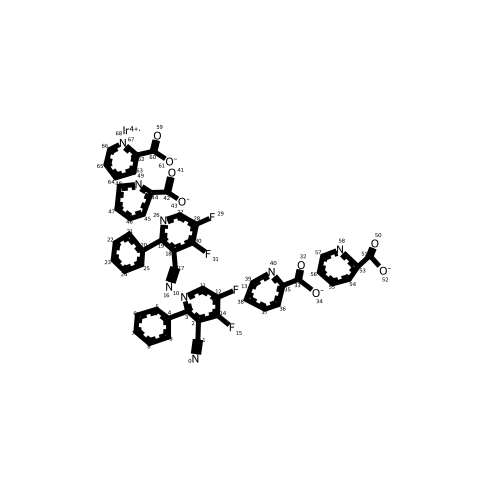 N#Cc1c(-c2ccccc2)ncc(F)c1F.N#Cc1c(-c2ccccc2)ncc(F)c1F.O=C([O-])c1ccccn1.O=C([O-])c1ccccn1.O=C([O-])c1ccccn1.O=C([O-])c1ccccn1.[Ir+4]